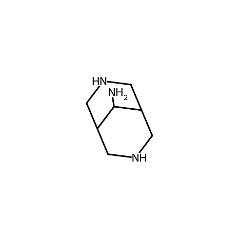 NC1C2CNCC1CNC2